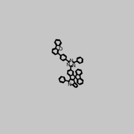 c1ccc(-c2nc(-c3ccc(-c4cccc5c4oc4ccccc45)cc3)nc(-c3ccc4c(c3)C3(c5ccccc5-c5ccccc53)c3c-4c(-c4ccccc4)nc4ccccc34)n2)cc1